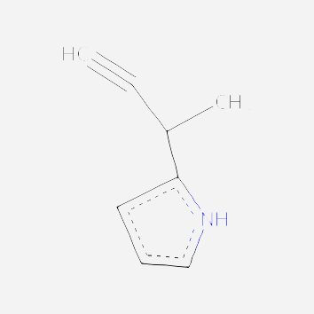 C#CC(C)c1ccc[nH]1